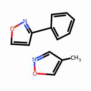 Cc1cnoc1.c1ccc(-c2ccon2)cc1